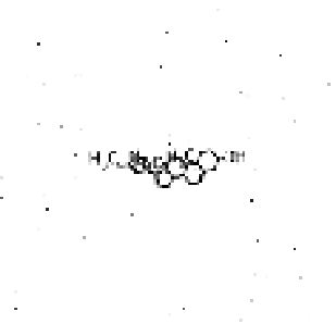 CCc1cn(C2=CCC3C4CC=C5C[C@@H](O)CC[C@]5(C)C4CC[C@]23C)cn1